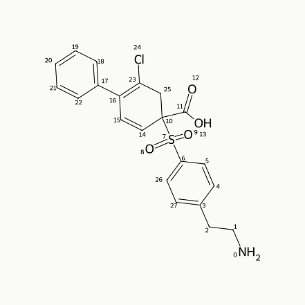 NCCc1ccc(S(=O)(=O)C2(C(=O)O)C=CC(c3ccccc3)=C(Cl)C2)cc1